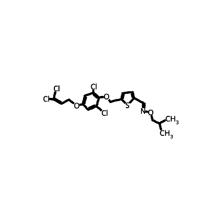 CC(C)CON=Cc1ccc(COc2c(Cl)cc(OCC=C(Cl)Cl)cc2Cl)s1